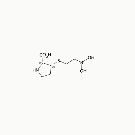 O=C(O)[C@H]1NCC[C@H]1SCCB(O)O